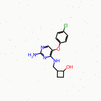 Nc1ncc(Oc2ccc(Cl)cc2)c(NCC2CCC2O)n1